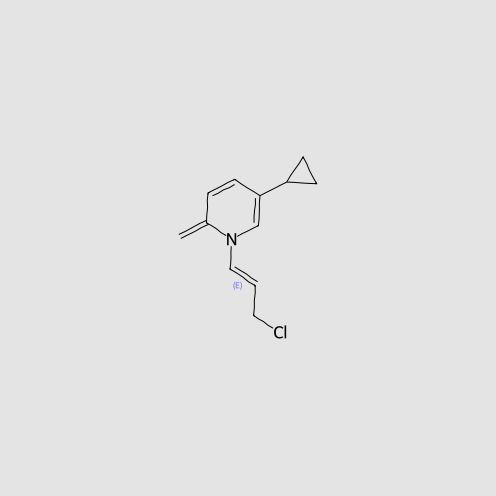 C=C1C=CC(C2CC2)=CN1/C=C/CCl